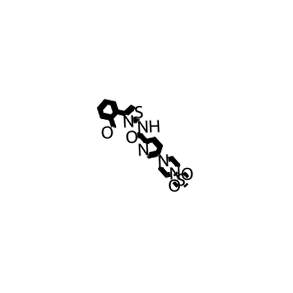 CS(=O)(=O)N1CCN(c2ccc(C(=O)Nc3nc(-c4ccccc4C=O)cs3)nc2)CC1